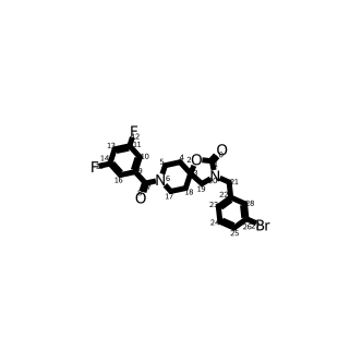 O=C1OC2(CCN(C(=O)c3cc(F)cc(F)c3)CC2)CN1Cc1cccc(Br)c1